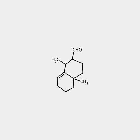 CC1C2=CCCCC2(C)CCC1C=O